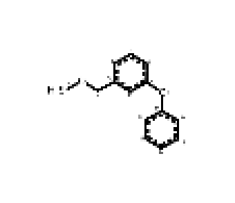 [SiH3]OCc1cccc(Oc2ccccc2)c1